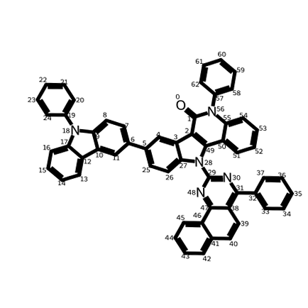 O=c1c2c3cc(-c4ccc5c(c4)c4ccccc4n5-c4ccccc4)ccc3n(-c3nc(-c4ccccc4)c4ccc5ccccc5c4n3)c2c2ccccc2n1-c1ccccc1